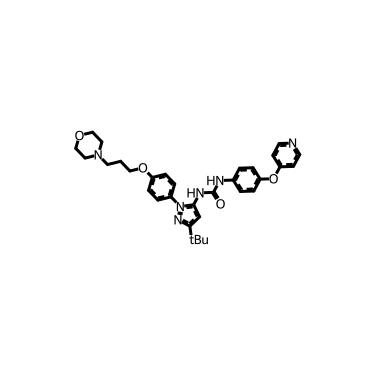 CC(C)(C)c1cc(NC(=O)Nc2ccc(Oc3ccncc3)cc2)n(-c2ccc(OCCCN3CCOCC3)cc2)n1